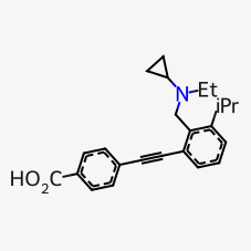 CCN(Cc1c(C#Cc2ccc(C(=O)O)cc2)cccc1C(C)C)C1CC1